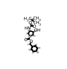 CC(C)(C)OC(=O)N[C@H]1CN(C(=O)OCc2ccccc2)C[C@H]1O